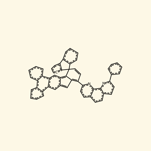 C1=CC2(C3=c4cc5c6ccccc6c6ccccc6c5cc4=CC3=C1c1ccc3ccc4ccc(-c5ccccc5)nc4c3n1)c1ccccc1-c1ccccc12